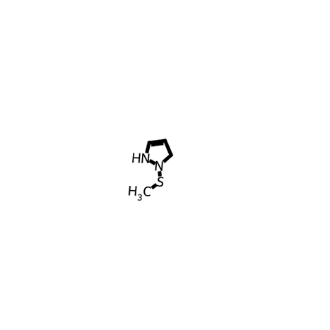 CSN1CC=CN1